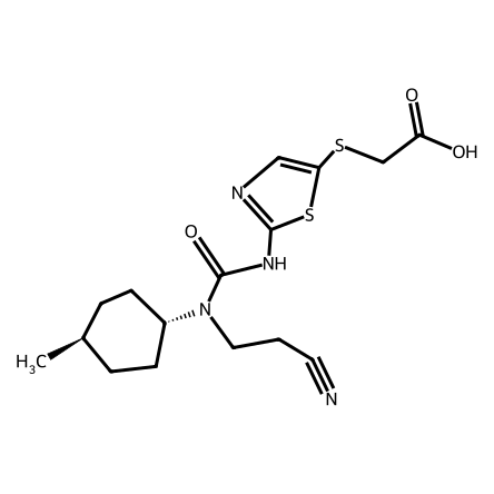 C[C@H]1CC[C@H](N(CCC#N)C(=O)Nc2ncc(SCC(=O)O)s2)CC1